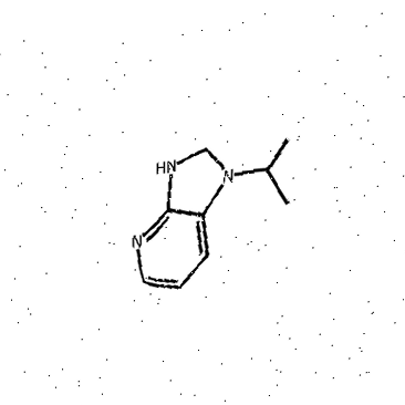 CC(C)N1CNc2ncccc21